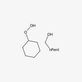 CCCCCCO.OOC1CCCCC1